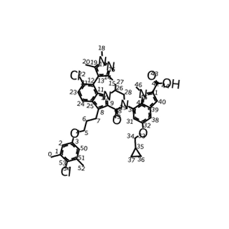 Cc1cc(OCCCc2c3n(c4c(-c5c(C)nn(C)c5C)c(Cl)ccc24)C(C)CN(c2cc(OCC4CC4)cc4cc(C(=O)O)n(C)c24)C3=O)cc(C)c1Cl